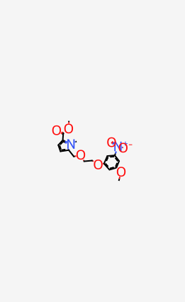 COC(=O)c1ccc(COCCOc2cc(OC)cc([N+](=O)[O-])c2)n1C